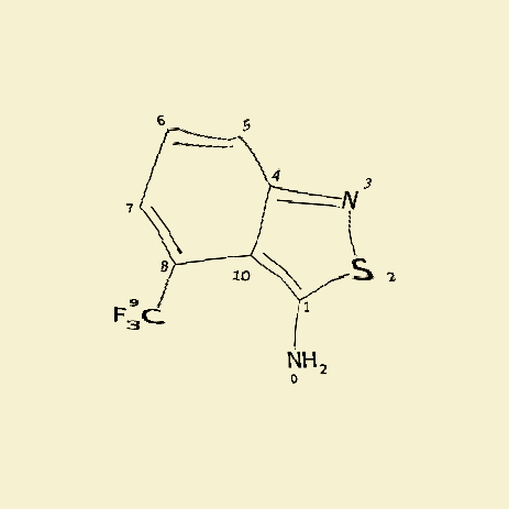 Nc1snc2cccc(C(F)(F)F)c12